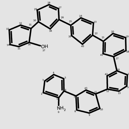 Nc1ccccc1-c1cccc(-c2cccc(-c3cccc(-c4ccc(-c5cccc(-c6ccccc6O)c5)cc4)c3)c2)c1